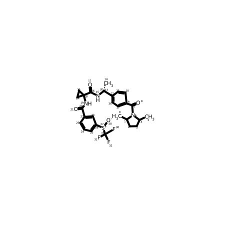 CC1CCC(C)N1C(=O)c1ccc([C@@H](C)NC(=O)C2(NC(=O)c3cccc([S+]([O-])C(F)(F)F)c3)CC2)cc1